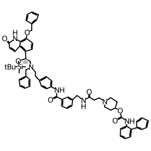 CC(C)(C)[Si](C)(C)O[C@H](CN(CCc1ccc(NC(=O)c2cccc(CNC(=O)CCN3CCC(OC(=O)Nc4ccccc4-c4ccccc4)CC3)c2)cc1)Cc1ccccc1)c1ccc(OCc2ccccc2)c2[nH]c(=O)ccc12